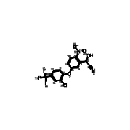 N#CC(O)c1cc(Oc2ccc(C(F)(F)F)cc2Cl)ccc1[N+](=O)[O-]